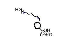 CCCCCC(O)c1cccc(/C=C\CCC/C=N/O)c1